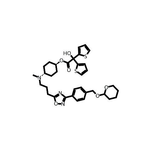 CN(CCCc1nc(-c2ccc(COC3CCCCO3)cc2)no1)[C@H]1CC[C@H](OC(=O)C(O)(c2cccs2)c2cccs2)CC1